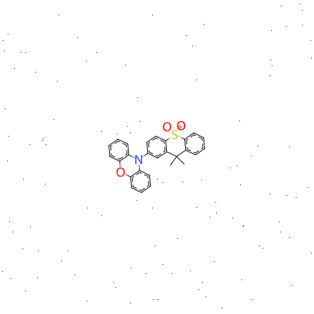 CC1(C)c2ccccc2S(=O)(=O)c2ccc(N3c4ccccc4Oc4ccccc43)cc21